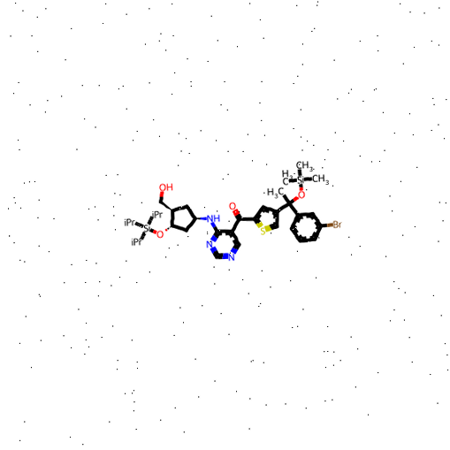 CC(C)[Si](O[C@H]1C[C@H](Nc2ncncc2C(=O)c2cc(C(C)(O[Si](C)(C)C)c3cccc(Br)c3)cs2)C[C@@H]1CO)(C(C)C)C(C)C